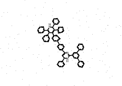 C1=C(c2ccc(-c3ccc(C4=C(c5ccccc5)C(c5ccccc5)NC(c5ccccc5)=C4c4ccccc4)cc3)cc2)N=C(c2cc(-c3ccccc3)cc(-c3ccccc3)c2)NC1c1ccccc1